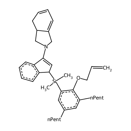 C=CCOc1c(CCCCC)cc(CCCCC)cc1[Si](C)(C)C1C=C(N2CC3=CC=CCC3C2)c2ccccc21